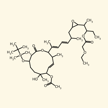 CCOCC(=O)OC(CC)C(C)C1OC1CC(C)C=CC=C(C)C1OC(=O)CC(O[Si](C)(C)C(C)(C)C)CCC(C)(O)C(OC(C)=O)/C=C/C1C